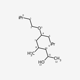 CC(C)CCOC(CC(C)C)CC(C)CC(C)O